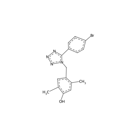 Cc1cc(Cn2nnnc2-c2ccc(Br)cc2)c(C)cc1O